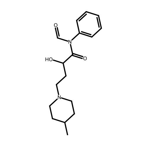 CC1CCN(CCC(O)C(=O)N(C=O)c2ccccc2)CC1